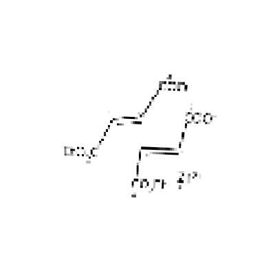 CCOC(=O)C=CC(=O)[O-].CCOC(=O)C=CC(=O)[O-].[Zn+2]